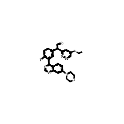 CCOc1cnnc(C(C=O)c2ccc(F)c(-c3ncnc4cc(N5CCOCC5)ccc34)c2)c1